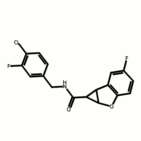 O=C(NCc1ccc(Cl)c(F)c1)C1C2Oc3ccc(F)cc3C21